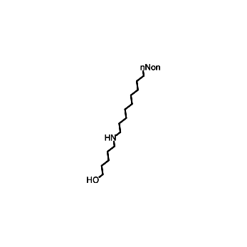 CCCCCCCCCCCCCCCCCCNCCCCCO